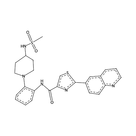 CS(=O)(=O)NC1CCN(c2ccccc2NC(=O)c2csc(-c3ccc4ncccc4c3)n2)CC1